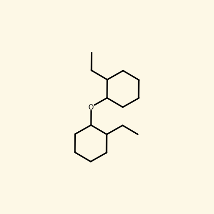 CCC1CCCCC1OC1CCCCC1CC